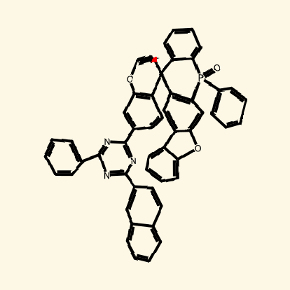 O=P1(c2ccccc2)c2ccccc2C2(c3ccccc3Oc3cc(-c4nc(-c5ccccc5)nc(-c5ccc6ccccc6c5)n4)ccc32)c2cc3c(cc21)oc1ccccc13